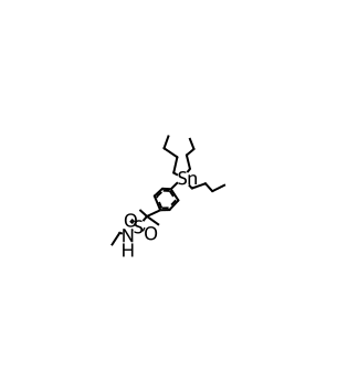 CCC[CH2][Sn]([CH2]CCC)([CH2]CCC)[c]1ccc(C(C)(C)S(=O)(=O)NCC)cc1